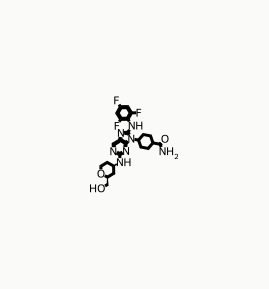 NC(=O)C1CCC(n2c(Nc3c(F)cc(F)cc3F)nc3cnc(N[C@@H]4CCO[C@H](CO)C4)nc32)CC1